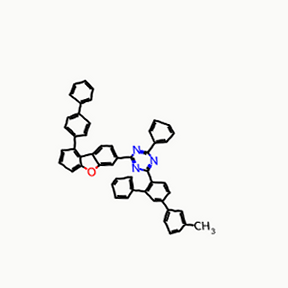 Cc1cccc(-c2ccc(-c3nc(-c4ccccc4)nc(-c4ccc5c(c4)oc4cccc(-c6ccc(-c7ccccc7)cc6)c45)n3)c(-c3ccccc3)c2)c1